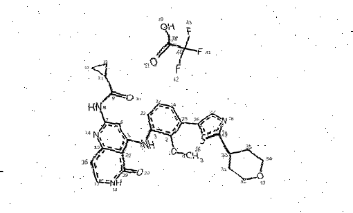 COc1c(Nc2cc(NC(=O)C3CC3)nc3cc[nH]c(=O)c23)cccc1-c1cnc(C2CCOCC2)s1.O=C(O)C(F)(F)F